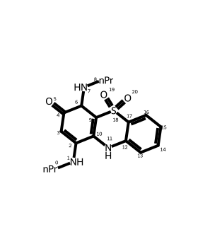 CCCNC1=CC(=O)C(NCCC)C2=C1Nc1ccccc1S2(=O)=O